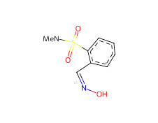 CNS(=O)(=O)c1ccccc1/C=N\O